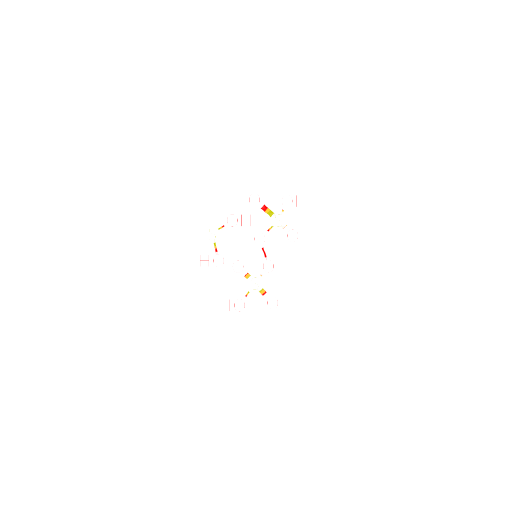 O=S(=O)(O)OOS(=O)(=O)O.OSO